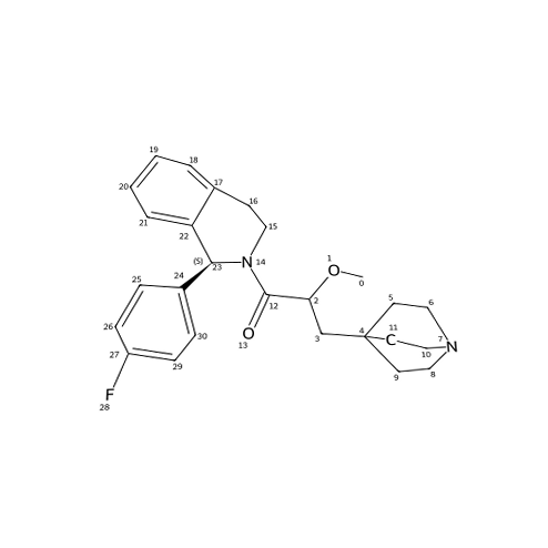 COC(CC12CCN(CC1)CC2)C(=O)N1CCc2ccccc2[C@@H]1c1ccc(F)cc1